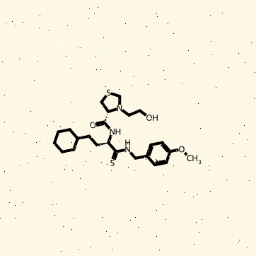 COc1ccc(CNC(=S)[C@@H](CCC2CCCCC2)NC(=O)[C@@H]2CSCN2CCO)cc1